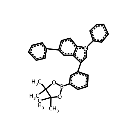 CC1(C)OB(c2cccc(-c3cn(-c4ccccc4)c4ccc(-c5ccccc5)cc34)c2)OC1(C)C